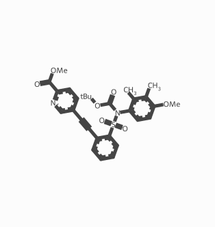 COC(=O)c1ccc(C#Cc2ccccc2S(=O)(=O)N(C(=O)OC(C)(C)C)c2ccc(OC)c(C)c2C)cn1